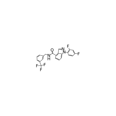 O=C(NCc1cccc(C(F)(F)F)c1)c1cccc2c1cnn2-c1ccc(F)cc1F